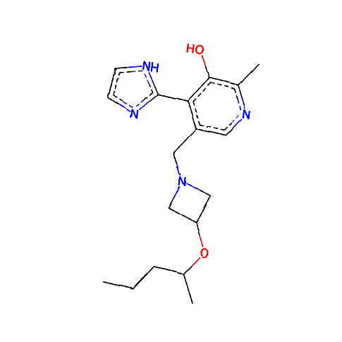 CCCC(C)OC1CN(Cc2cnc(C)c(O)c2-c2ncc[nH]2)C1